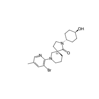 Cc1cnc(N2CCC[C@]3(CCN([C@H]4CC[C@H](O)CC4)C3=O)C2)c(Br)c1